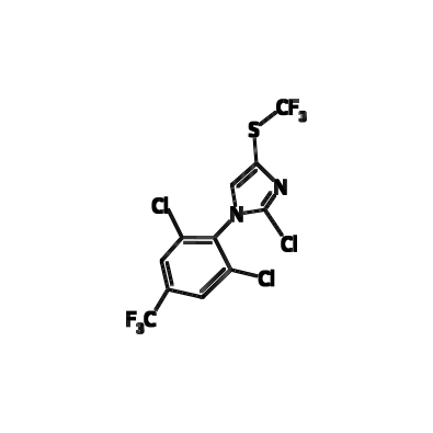 FC(F)(F)Sc1cn(-c2c(Cl)cc(C(F)(F)F)cc2Cl)c(Cl)n1